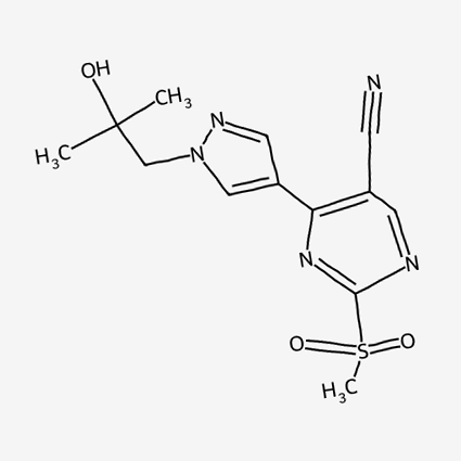 CC(C)(O)Cn1cc(-c2nc(S(C)(=O)=O)ncc2C#N)cn1